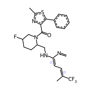 C=N/C(=C\C=C(/C)C(F)(F)F)NCC1CCC(F)CN1C(=O)c1nc(C)sc1-c1ccccc1